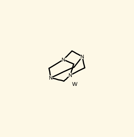 C1N2CN3CN1CN(C2)C3.[W]